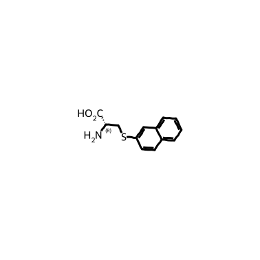 N[C@@H](CSc1ccc2ccccc2c1)C(=O)O